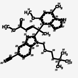 COC(=O)C=CC(C)(c1c(OC)cc(C)c2[nH]ccc12)c1nc2cc(C#N)ccc2n1COCC[Si](C)(C)C